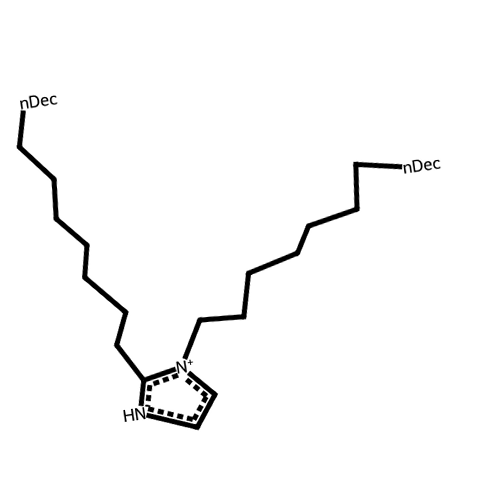 CCCCCCCCCCCCCCCCCc1[nH]cc[n+]1CCCCCCCCCCCCCCCCC